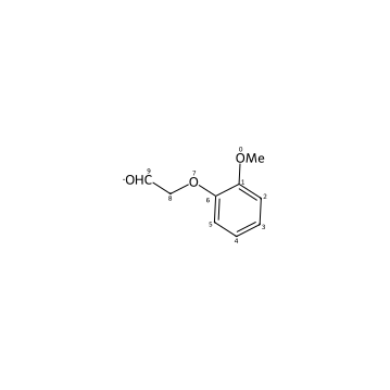 COc1ccccc1OC[C]=O